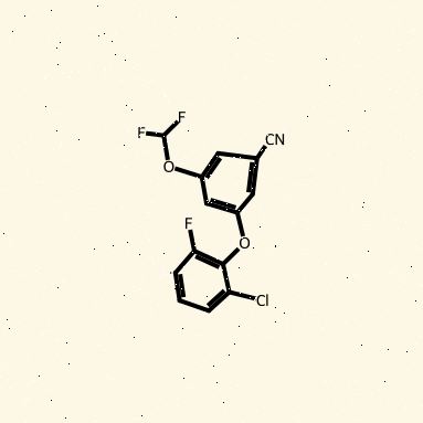 N#Cc1cc(Oc2c(F)[c]ccc2Cl)cc(OC(F)F)c1